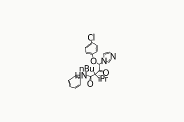 CCCCC(C(=O)Nc1ccccc1)(C(=O)C(Oc1ccc(Cl)cc1)n1ccnc1)C(C)C